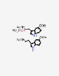 COc1ccc2[nH]cc(CCNC(C)=O)c2c1.COc1ccc2[nH]cc(CCNC(C)=O)c2c1.O=S(=O)(O)O